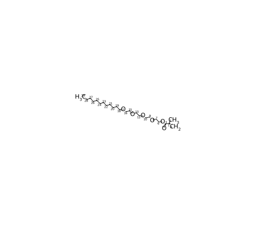 C=C(C)C(=O)OCCOCCOCCOCCOCCCCCCCCCCCC